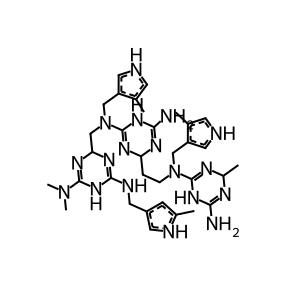 Cc1cc(CNC2=NC(CN(Cc3c[nH]cc3C)C3=NC(CCN(Cc4c[nH]cc4C)C4=NC(C)N=C(N)N4)N=C(N)N3)N=C(N(C)C)N2)c[nH]1